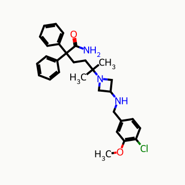 COc1cc(CNC2CN(C(C)(C)CCC(C(N)=O)(c3ccccc3)c3ccccc3)C2)ccc1Cl